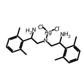 Cc1cccc(C)c1C(N)C[N](CC(N)c1c(C)cccc1C)[Ag]([Cl])[Cl]